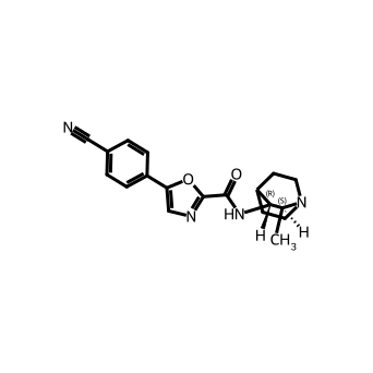 C[C@H]1[C@H](NC(=O)c2ncc(-c3ccc(C#N)cc3)o2)C2CCN1CC2